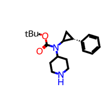 CC(C)(C)OC(=O)N(C1CCNCC1)C1C[C@@H]1c1ccccc1